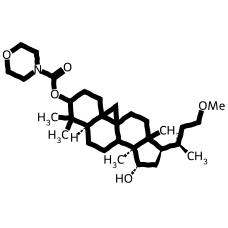 COCC[C@@H](C)[C@H]1C[C@H](O)[C@@]2(C)C3CC[C@H]4C(C)(C)C(OC(=O)N5CCOCC5)CCC45CC35CCC12C